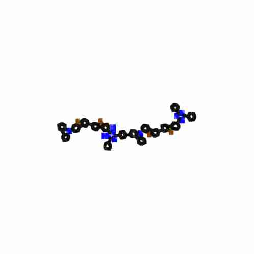 C1=CCCC(C2N=C(c3ccc(-c4ccc5c(c4)c4ccccc4n5-c4cccc5c4sc4ccc(-c6ccc7c8c(sc7c6)=CCC(c6nc(-c7ccccc7)nc(-c7ccccc7)n6)C=8)cc45)cc3)NC(c3ccc4sc5cc(-c6ccc7sc8cc(-n9c%10ccccc%10c%10ccccc%109)ccc8c7c6)ccc5c4c3)N2)=C1